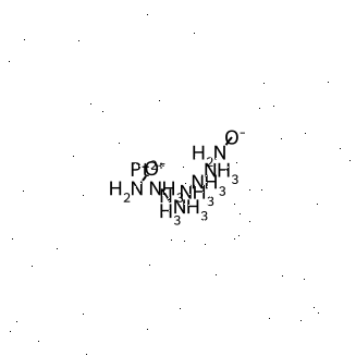 N.N.N.N.N.N.N[O-].N[O-].[Pt+2]